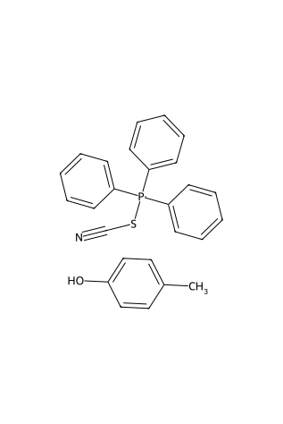 Cc1ccc(O)cc1.N#CS[P](c1ccccc1)(c1ccccc1)c1ccccc1